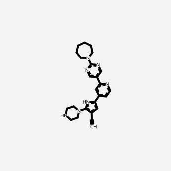 C#Cc1cc(-c2ccnc(-c3cnc(N4CCCCCC4)nc3)c2)[nH]c1N1CCNCC1